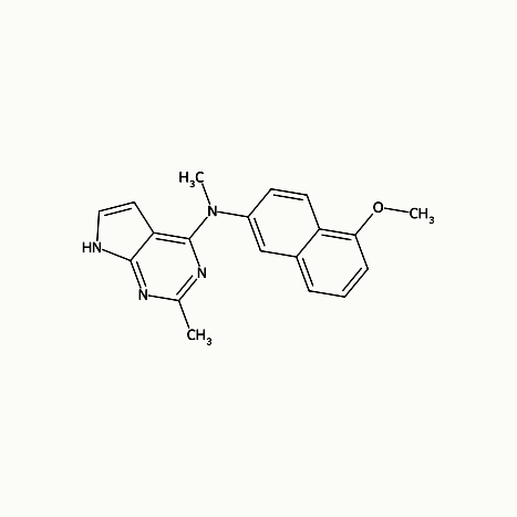 COc1cccc2cc(N(C)c3nc(C)nc4[nH]ccc34)ccc12